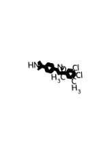 Cc1cc(C2(C)CC(c3ccc(C4CNC4)cc3)=NO2)cc(Cl)c1Cl